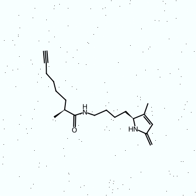 C#CCCCC[C@H](C)C(=O)NCCCC[C@@H]1NC(=C)C=C1C